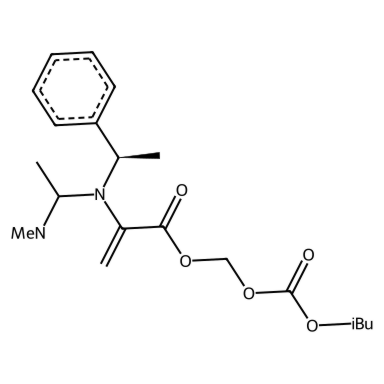 C=C(C(=O)OCOC(=O)OC(C)CC)N(C(C)NC)[C@H](C)c1ccccc1